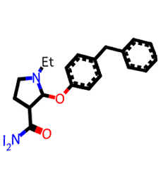 CCN1CCC(C(N)=O)C1Oc1ccc(Cc2ccccc2)cc1